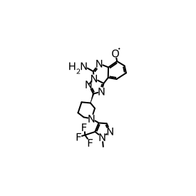 COc1cccc2c1nc(N)n1nc([C@@H]3CCCN(c4cnn(C)c4C(F)(F)F)C3)nc21